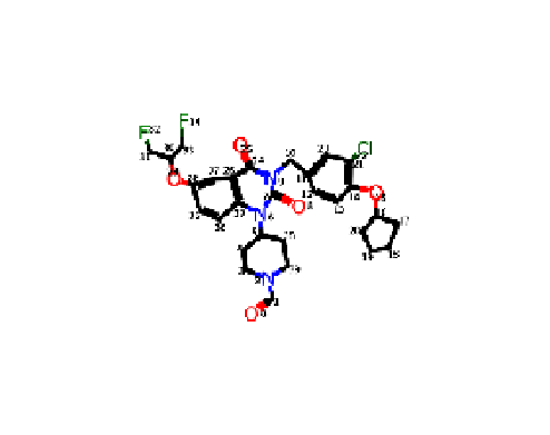 O=CN1CCC(n2c(=O)n(Cc3ccc(OC4CCCC4)c(Cl)c3)c(=O)c3cc(OC(CF)CF)ccc32)CC1